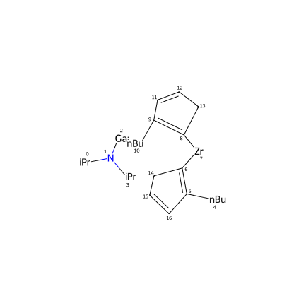 CC(C)[N]([Ga])C(C)C.CCCCC1=[C]([Zr][C]2=C(CCCC)C=CC2)CC=C1